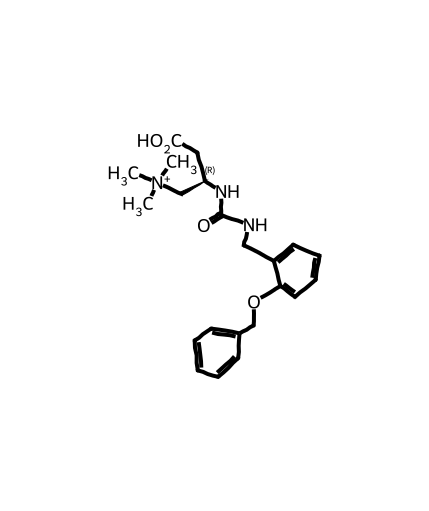 C[N+](C)(C)C[C@@H](CC(=O)O)NC(=O)NCc1ccccc1OCc1ccccc1